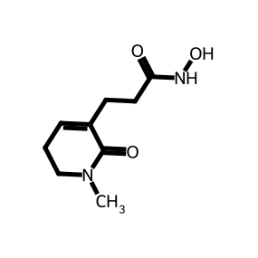 CN1CCC=C(CCC(=O)NO)C1=O